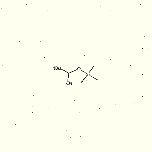 CC(C)(C)C(C#N)O[Si](C)(C)C